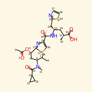 CC(=O)OC(CC(C(C)C)N(C)C(=O)C1CC1)c1nc(C(=O)N[C@@H](Cc2nccs2)C[C@H](C)C(=O)O)cs1